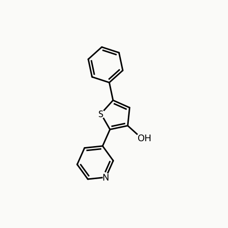 Oc1cc(-c2ccccc2)sc1-c1cccnc1